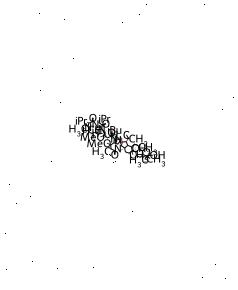 C=C(C)[C@@H]1CC[C@]2(CNC(=O)[C@H](C)[C@@H](OC)C3CCCN3C(=O)C[C@@H](OC)[C@H]([C@@H](C)CC)N(C)C(=O)C(NC(=O)[C@H](C(C)C)N(C)C)C(C)C)CC[C@]3(C)C(CCC4[C@@]5(C)CC[C@H](O)C(C)(C)C5CC[C@]43C)C12